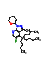 CCC[CH2][Sn]([CH2]CCC)([CH2]CCC)[c]1c(F)cnc2c1c(C)nn2C1CCCCO1